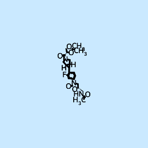 CC(=O)NC[C@H]1CN(c2ccc(C3[C@H]4CN(C(=O)[C@@H]5COC(C)(C)O5)C[C@@H]34)c(F)c2)C(=O)O1